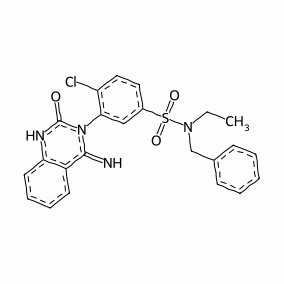 CCN(Cc1ccccc1)S(=O)(=O)c1ccc(Cl)c(-n2c(=O)[nH]c3ccccc3c2=N)c1